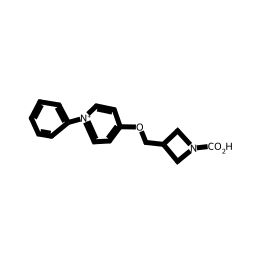 O=C(O)N1CC(COc2cc[n+](-c3ccccc3)cc2)C1